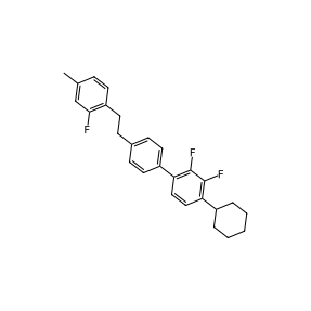 Cc1ccc(CCc2ccc(-c3ccc(C4CCCCC4)c(F)c3F)cc2)c(F)c1